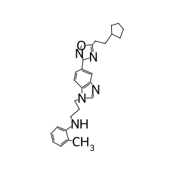 Cc1ccccc1NCCCn1cnc2cc(-c3noc(CCC4CCCC4)n3)ccc21